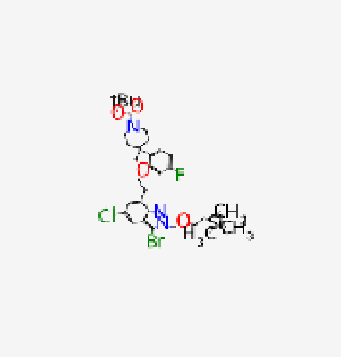 CC(C)(C)OC(=O)N1CCC(COCCc2cc(Cl)cc3c(Br)n(COCC[Si](C)(C)C)nc23)(c2ccc(F)cc2)CC1